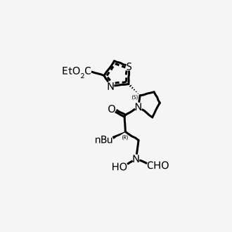 CCCC[C@H](CN(O)C=O)C(=O)N1CCC[C@H]1c1nc(C(=O)OCC)cs1